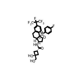 O=C(N[C@@H]1CC[C@@]2(S(=O)(=O)c3ccc(F)cc3)c3ccc(C(F)(C(F)(F)F)C(F)(F)F)cc3CC[C@@H]12)[C@H]1C[C@@](O)(CO)C1